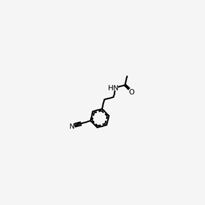 CC(=O)NCCc1cccc(C#N)c1